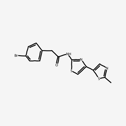 Cc1ncc(-c2csc(NC(=O)Cc3ccc(Br)cc3)n2)s1